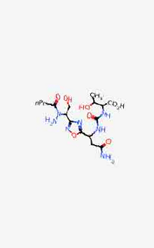 CCCC(=O)N(N)[C@@H](CO)c1noc([C@H](CC(N)=O)NC(=O)N[C@H](C(=O)O)C(C)O)n1